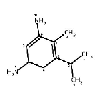 CC1=C(C(C)C)CC(N)C=C1N